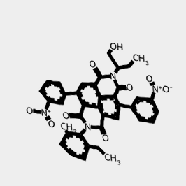 CCc1cccc(C)c1N1C(=O)c2cc(-c3cccc([N+](=O)[O-])c3)c3c4c(cc(-c5cccc([N+](=O)[O-])c5)c(c24)C1=O)C(=O)N(C(CC)CO)C3=O